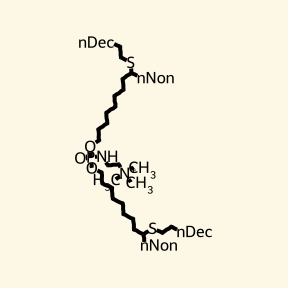 CCCCCCCCCCCCSC(CCCCCCCCC)CCCCCCCCOP(=O)(NCC[N+](C)(C)C)OCCCCCCCCC(CCCCCCCCC)SCCCCCCCCCCCC